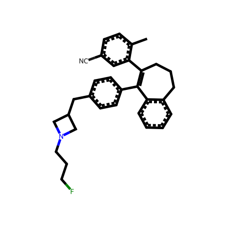 Cc1ccc(C#N)cc1C1=C(c2ccc(CC3CN(CCCF)C3)cc2)c2ccccc2CCC1